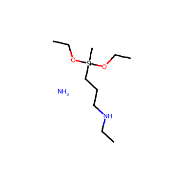 CCNCCC[Si](C)(OCC)OCC.N